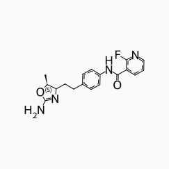 C[C@@H]1OC(N)=NC1CCc1ccc(NC(=O)c2cccnc2F)cc1